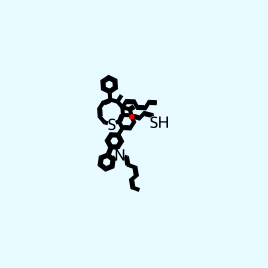 C=C/C=C\C=C/C1(C(=C)/C=C\C=C/S)C2=C(SC/C=C\C=C(\c3ccccc3)C1C)C(c1ccc3c4ccccc4n(C=C/C=C\C=C/C)c3c1)=CCC2